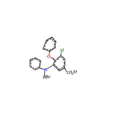 CCCCN(c1ccccc1)c1cc(C(=O)OCC)cc(Cl)c1Oc1ccccc1